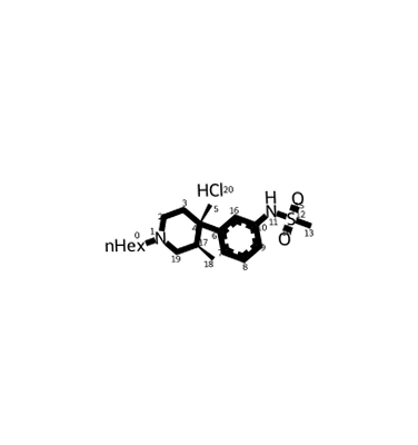 CCCCCCN1CC[C@](C)(c2cccc(NS(C)(=O)=O)c2)[C@@H](C)C1.Cl